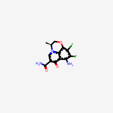 C[C@H]1COc2c(F)c(F)c(N)c3c(=O)c(C(N)=O)cn1c23